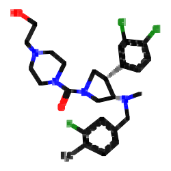 CN(Cc1ccc(C(F)(F)F)c(F)c1)[C@@H]1CN(C(=O)N2CCN(CCO)CC2)C[C@@H]1c1ccc(Cl)c(Cl)c1